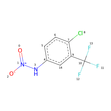 O=[N+]([O-])Nc1ccc(Cl)c(C(F)(F)F)c1